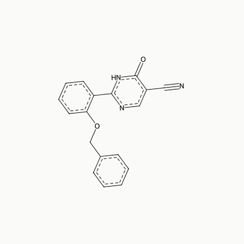 N#Cc1cnc(-c2ccccc2OCc2ccccc2)[nH]c1=O